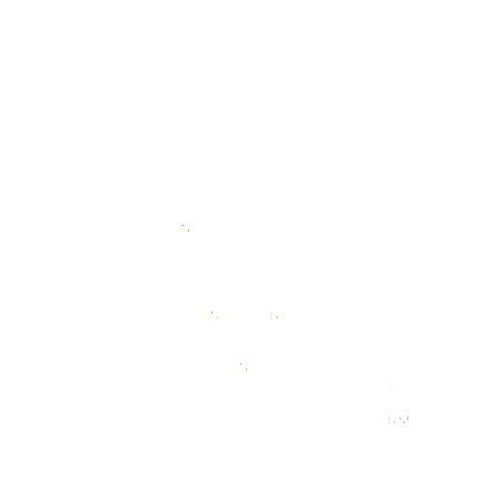 CNC(=O)c1ccc(-n2c(NC(C)c3ccc(S(C)(=O)=O)cc3)nc3c(c2=O)C[C@@H](C)N(C(=O)c2ccc(Cl)c(Cl)c2)C3)cc1